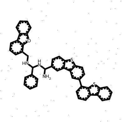 NC(NC(NCc1cccc2c1oc1ccccc12)c1ccccc1)c1ccc2sc3ccc(-c4cccc5c4sc4ccccc45)cc3c2c1